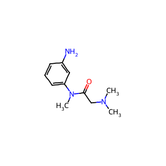 CN(C)CC(=O)N(C)c1cccc(N)c1